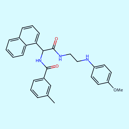 COc1ccc(NCCNC(=O)C(NC(=O)c2cccc(C)c2)c2cccc3ccccc23)cc1